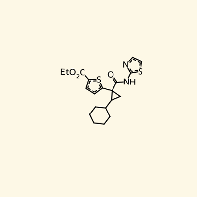 CCOC(=O)c1ccc(C2(C(=O)Nc3nccs3)CC2C2CCCCC2)s1